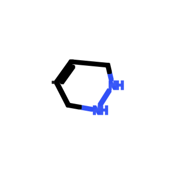 [C]1=CCNNC1